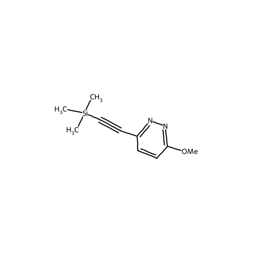 COc1ccc(C#C[Si](C)(C)C)nn1